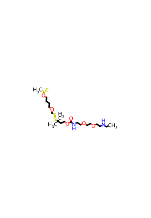 CCNCCOCCOCCNC(=O)OCCC(C)(C)SSCOCCCCOS(C)=S